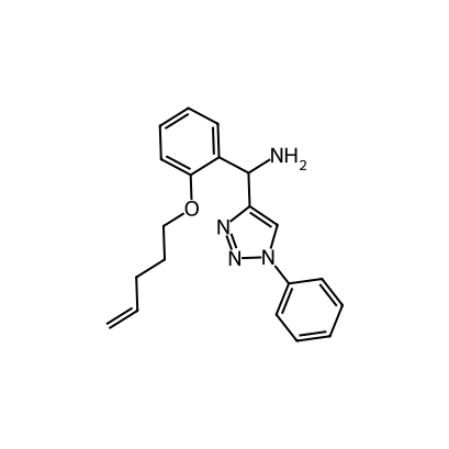 C=CCCCOc1ccccc1C(N)c1cn(-c2ccccc2)nn1